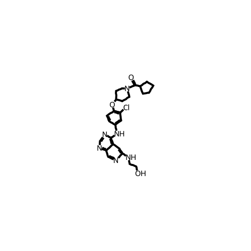 O=C(C1CCCC1)N1CCC(Oc2ccc(Nc3ncnc4cnc(NCCO)cc34)cc2Cl)CC1